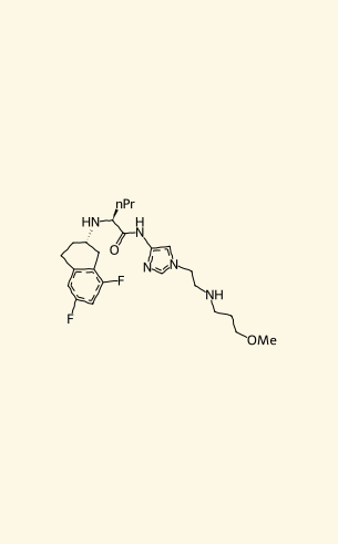 CCC[C@H](N[C@H]1CCc2cc(F)cc(F)c2C1)C(=O)Nc1cn(CCNCCCOC)cn1